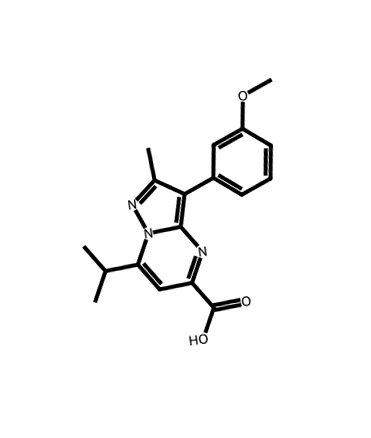 COc1cccc(-c2c(C)nn3c(C(C)C)cc(C(=O)O)nc23)c1